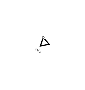 C.C1CO1